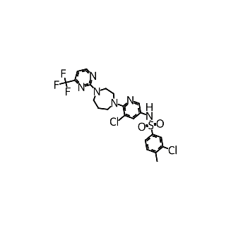 Cc1ccc(S(=O)(=O)Nc2cnc(N3CCCN(c4nccc(C(F)(F)F)n4)CC3)c(Cl)c2)cc1Cl